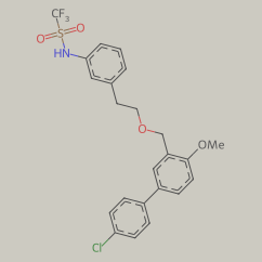 COc1ccc(-c2ccc(Cl)cc2)cc1COCCc1cccc(NS(=O)(=O)C(F)(F)F)c1